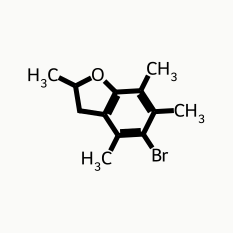 Cc1c(C)c2c(c(C)c1Br)CC(C)O2